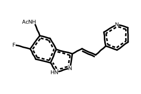 CC(=O)Nc1cc2c(/C=C/c3cccnc3)n[nH]c2cc1F